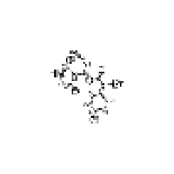 C#CCC(OC(=O)C(c1ccc(Cl)cc1)C(C)C)N1C(=O)CNC1=O